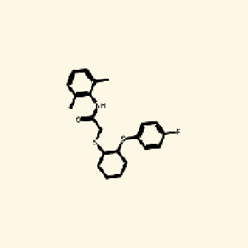 Cc1cccc(C)c1NC(=O)CSC1CCCCC1Sc1ccc(F)cc1